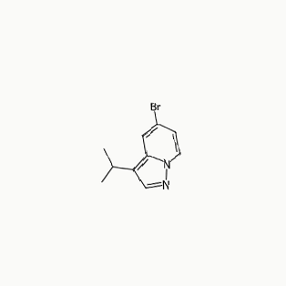 CC(C)c1cnn2ccc(Br)cc12